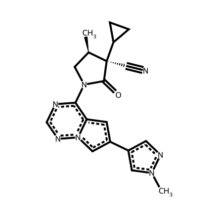 C[C@@H]1CN(c2ncnn3cc(-c4cnn(C)c4)cc23)C(=O)[C@]1(C#N)C1CC1